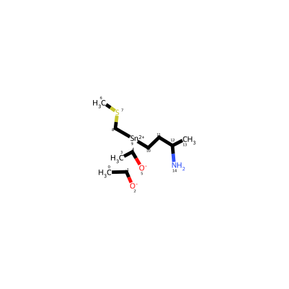 CC[O-].CC[O-].CS[CH2][Sn+2][CH2]CC(C)N